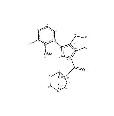 COc1c(F)cccc1-c1nn(C(=O)N2CCN3CCC2CC3)c2c1CCC2